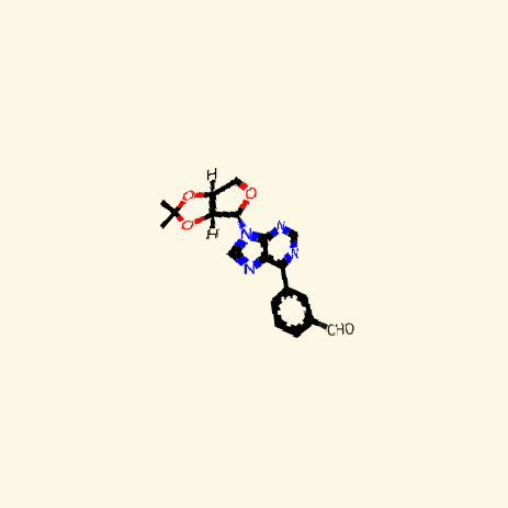 CC1(C)O[C@H]2[C@H](n3cnc4c(-c5cccc(C=O)c5)ncnc43)O[CH][C@H]2O1